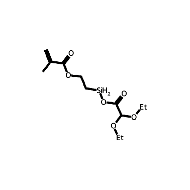 C=C(C)C(=O)OCC[SiH2]OC(=O)C(OCC)OCC